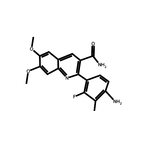 COc1cc2cc(C(N)=O)c(-c3ccc(N)c(C)c3F)nc2cc1OC